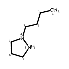 CCCCN1CCCN1